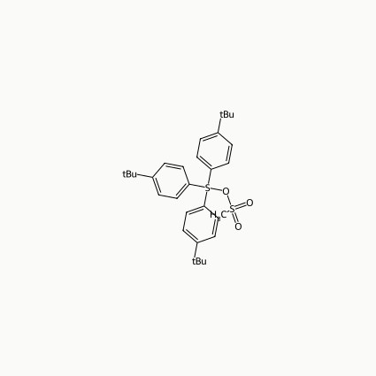 CC(C)(C)c1ccc(S(OS(C)(=O)=O)(c2ccc(C(C)(C)C)cc2)c2ccc(C(C)(C)C)cc2)cc1